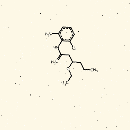 C=C(CC(CCC)OCC)Nc1c(C)cccc1Cl